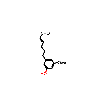 COc1cc(O)cc(CCC/C=C/C=O)c1